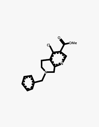 COC(=O)c1cnc2c(c1Cl)CCN(Cc1ccccc1)C2